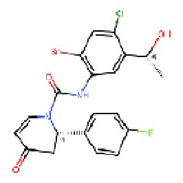 C[C@@H](O)c1cc(NC(=O)N2C=CC(=O)C[C@H]2c2ccc(F)cc2)c(Br)cc1Cl